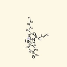 C=CCOC(=O)N/C(=N\CCCCCC)Nc1ccc(C=O)cc1